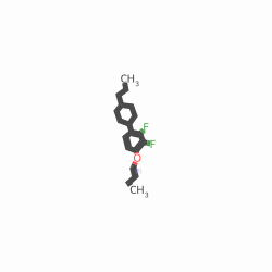 CC/C=C/Oc1ccc(C2CCC(CCC)CC2)c(F)c1F